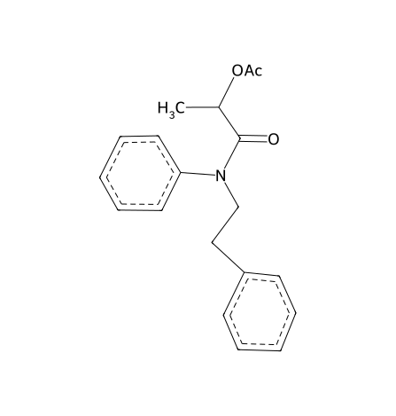 CC(=O)OC(C)C(=O)N(CCc1ccccc1)c1ccccc1